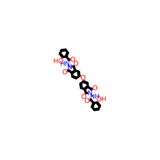 O=C(NN1C(=O)c2ccc(Oc3ccc4c(c3)C(=O)N(NC(=O)c3ccccc3O)C4=O)cc2C1=O)c1ccccc1O